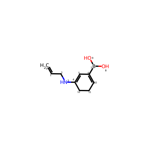 C=CCNC1=CC(B(O)O)=CCC1